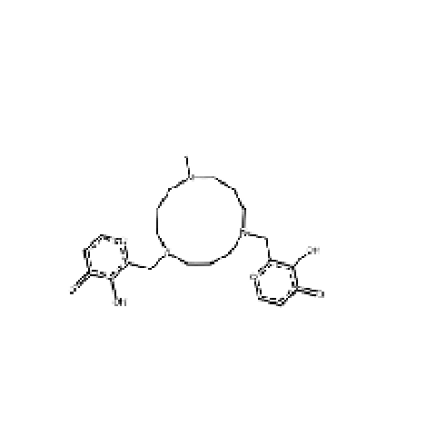 CN1CCCN(Cc2occc(=O)c2O)CCCN(Cc2occc(=O)c2O)CCC1